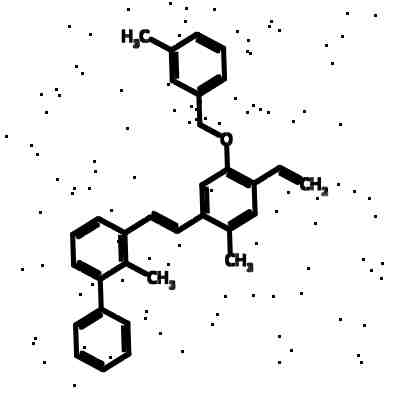 C=Cc1cc(C)c(/C=C/c2cccc(-c3ccccc3)c2C)cc1OCc1cccc(C)c1